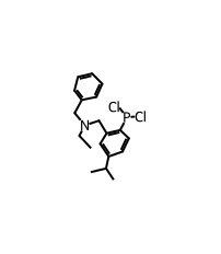 CCN(Cc1ccccc1)Cc1cc(C(C)C)ccc1P(Cl)Cl